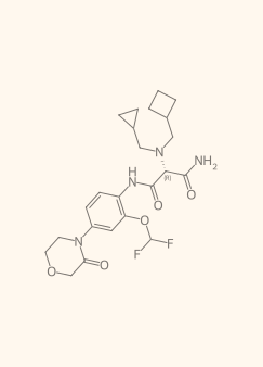 NC(=O)[C@H](C(=O)Nc1ccc(N2CCOCC2=O)cc1OC(F)F)N(CC1CCC1)CC1CC1